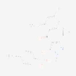 CSc1cc(C(F)(F)F)ccc1C(=O)c1c(C2CC2)nn(C)c1OS(=O)(=O)c1ccc(C)cc1